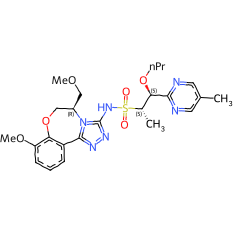 CCCO[C@@H](c1ncc(C)cn1)[C@H](C)S(=O)(=O)Nc1nnc2n1[C@H](COC)COc1c(OC)cccc1-2